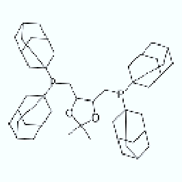 CC1(C)OC(CP(C23CC4CC(CC(C4)C2)C3)C23CC4CC(CC(C4)C2)C3)C(CP(C23CC4CC(CC(C4)C2)C3)C23CC4CC(CC(C4)C2)C3)O1